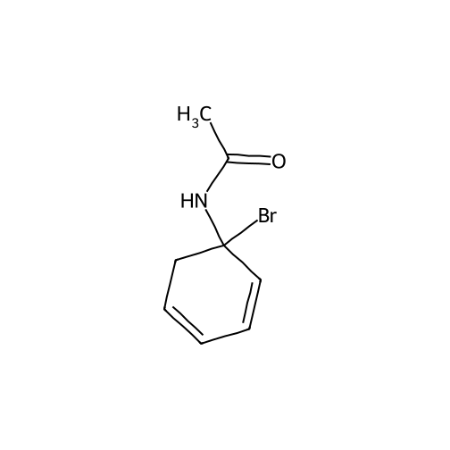 CC(=O)NC1(Br)C=CC=CC1